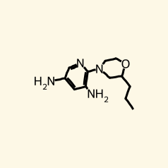 CCCC1CN(c2ncc(N)cc2N)CCO1